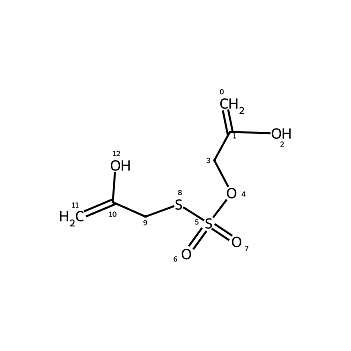 C=C(O)COS(=O)(=O)SCC(=C)O